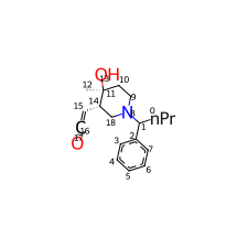 CCCC(c1ccccc1)N1CC[C@](C)(O)[C@@H](C=C=O)C1